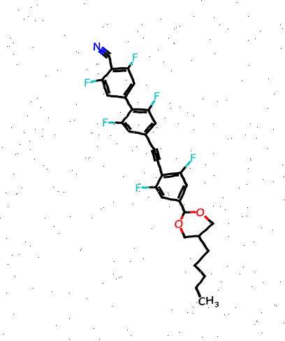 CCCCCC1COC(c2cc(F)c(C#Cc3cc(F)c(-c4cc(F)c(C#N)c(F)c4)c(F)c3)c(F)c2)OC1